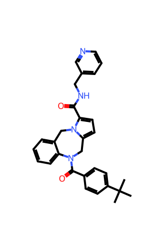 CC(C)(C)c1ccc(C(=O)N2Cc3ccc(C(=O)NCc4cccnc4)n3Cc3ccccc32)cc1